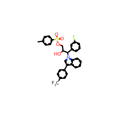 Cc1ccc(S(=O)(=O)OCC(O)C(c2cccc(F)c2)n2cc(-c3ccc(C(F)(F)F)cc3)c3ccccc32)cc1